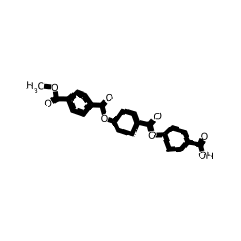 COC(=O)c1ccc(C(=O)OC2CCC(C(=O)OC3CCC(C(=O)O)CC3)CC2)cc1